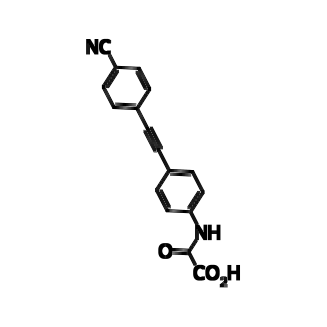 N#Cc1ccc(C#Cc2ccc(NC(=O)C(=O)O)cc2)cc1